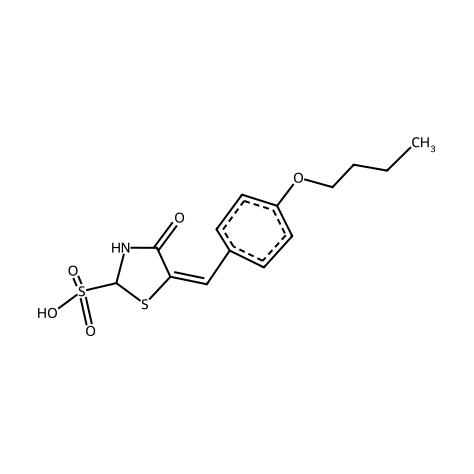 CCCCOc1ccc(C=C2SC(S(=O)(=O)O)NC2=O)cc1